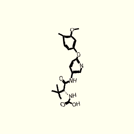 COc1cc(Oc2ccc(NC(=O)[C@H](NC(=O)O)C(C)(C)C)cn2)ccc1C